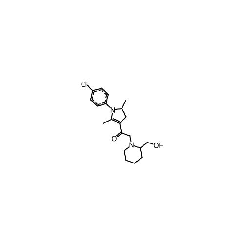 CC1=C(C(=O)CN2CCCCC2CO)CC(C)N1c1ccc(Cl)cc1